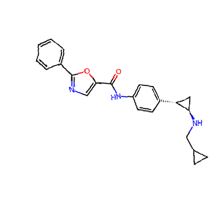 O=C(Nc1ccc([C@@H]2C[C@H]2NCC2CC2)cc1)c1cnc(-c2ccccc2)o1